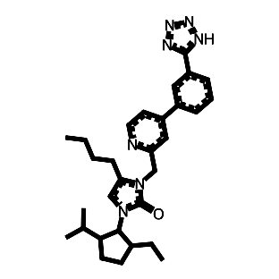 CCCCc1cn(C2C(CC)CCC2C(C)C)c(=O)n1Cc1cc(-c2cccc(-c3nnn[nH]3)c2)ccn1